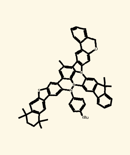 Cc1cc2c3c4c1c1cc5c(cc1n4-c1cc4c(cc1B3N(c1ccc(C(C)(C)C)cc1)c1cc3c(cc1-2)sc1cc2c(cc13)C(C)(C)CCC2(C)C)-c1ccccc1C4(C)C)OCc1ccccc1-5